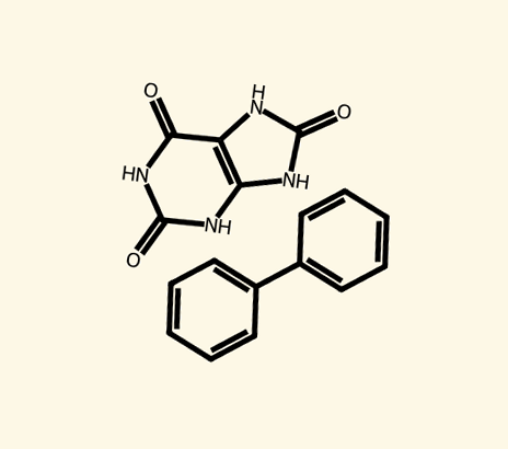 O=c1[nH]c(=O)c2[nH]c(=O)[nH]c2[nH]1.c1ccc(-c2ccccc2)cc1